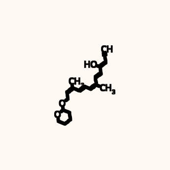 C#CC=C(O)C=CC(C)=CC=CC(C)=CCOC1CCCCO1